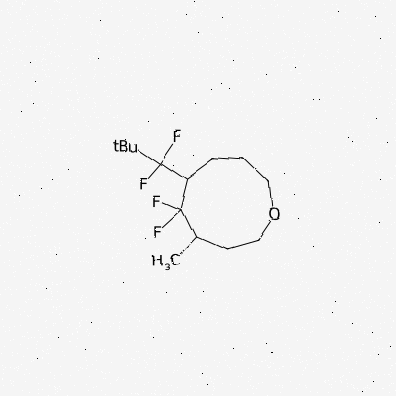 CC1CCOCCCC(C(F)(F)C(C)(C)C)C1(F)F